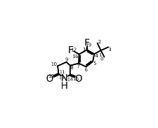 CC(C)(C)c1ccc(C2CCC(=O)NC2=O)c(F)c1F